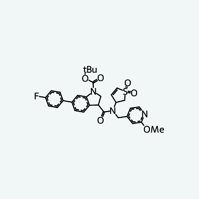 COc1cc(CN(C(=O)C2CN(C(=O)OC(C)(C)C)c3cc(-c4ccc(F)cc4)ccc32)C2C=CS(=O)(=O)C2)ccn1